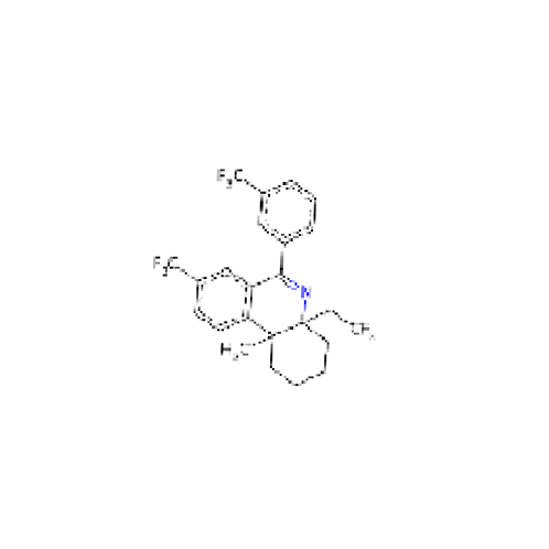 CC12CCCCC1(CC(F)(F)F)N=C(c1cccc(C(F)(F)F)c1)c1cc(C(F)(F)F)ccc12